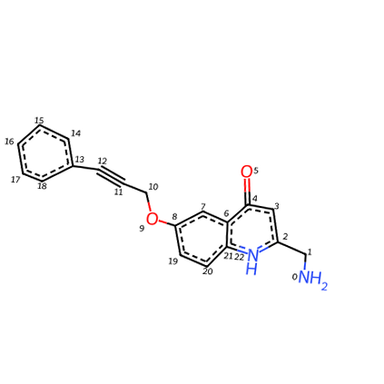 NCc1cc(=O)c2cc(OCC#Cc3ccccc3)ccc2[nH]1